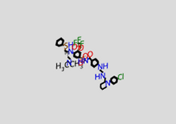 CN(C)CC[C@H](CSc1ccccc1)Nc1ccc(S(=O)(=O)NC(=O)c2ccc(NCCNCC3CCCCN3c3ccc(Cl)cc3)cc2)cc1S(=O)(=O)C(F)(F)F